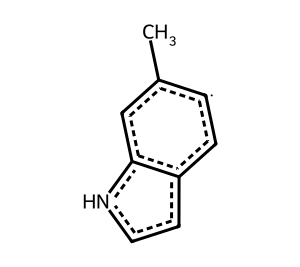 Cc1[c]cc2cc[nH]c2c1